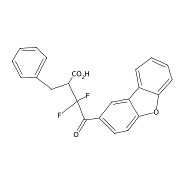 O=C(O)C(Cc1ccccc1)C(F)(F)C(=O)c1ccc2oc3ccccc3c2c1